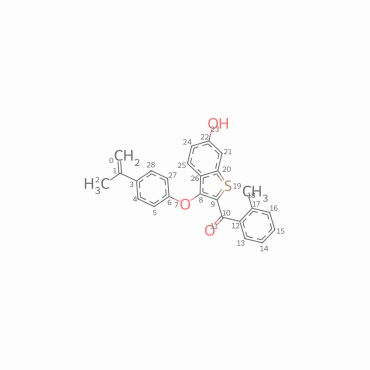 C=C(C)c1ccc(Oc2c(C(=O)c3ccccc3C)sc3cc(O)ccc23)cc1